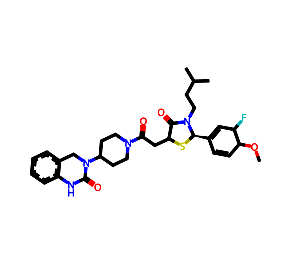 COC1C=CC([C@H]2SC(CC(=O)N3CCC(N4Cc5ccccc5NC4=O)CC3)C(=O)N2CCC(C)C)=CC1F